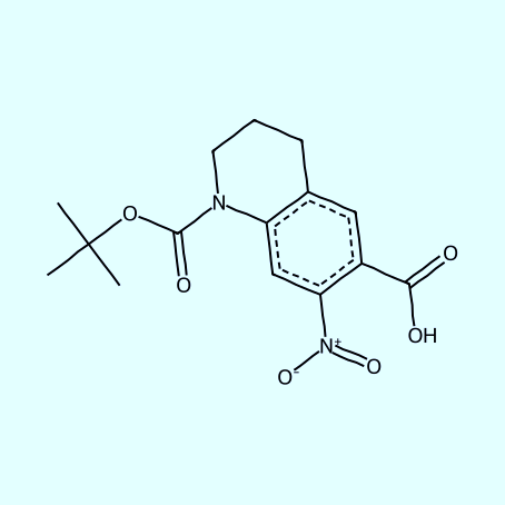 CC(C)(C)OC(=O)N1CCCc2cc(C(=O)O)c([N+](=O)[O-])cc21